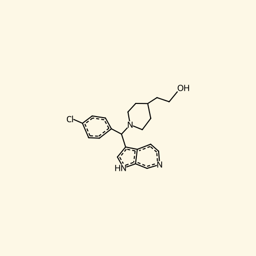 OCCC1CCN(C(c2ccc(Cl)cc2)c2c[nH]c3cnccc23)CC1